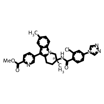 COC(=O)c1ccc(-c2c3n(c4ccc(C)cc24)C[C@](C)(NC(=O)c2ccc(-n4cnnc4)cc2Cl)CC3)cn1